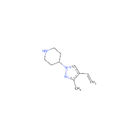 C=Cc1cn(C2CCNCC2)nc1C